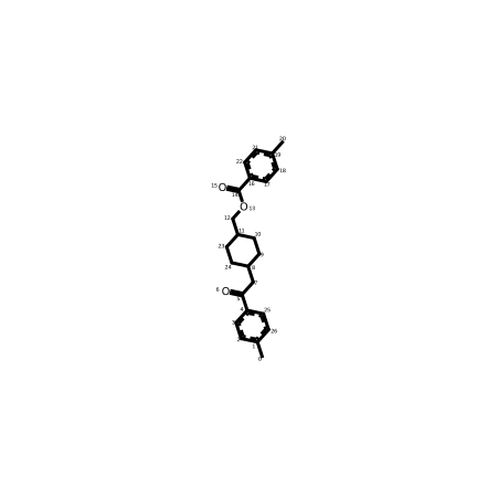 Cc1ccc(C(=O)CC2CCC(COC(=O)c3ccc(C)cc3)CC2)cc1